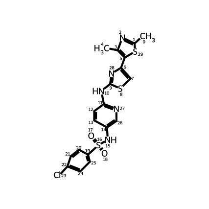 Cc1nc(C)c(-c2csc(Nc3ccc(NS(=O)(=O)c4ccc(Cl)cc4)cn3)n2)s1